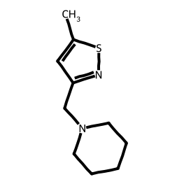 Cc1cc(CN2CCCCC2)ns1